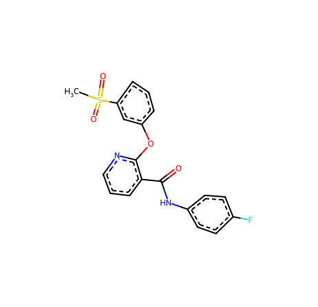 CS(=O)(=O)c1cccc(Oc2ncccc2C(=O)Nc2ccc(F)cc2)c1